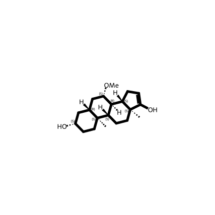 CO[C@H]1C[C@H]2C[C@@H](O)CC[C@]2(C)[C@H]2CC[C@]3(C)C(O)=CC[C@H]3[C@H]12